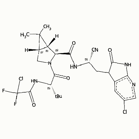 CC(C)(C)[C@H](NC(=O)C(F)(F)Cl)C(=O)N1C[C@H]2[C@@H]([C@H]1C(=O)N[C@H](C#N)CC1C(=O)Nc3ncc(Cl)cc31)C2(C)C